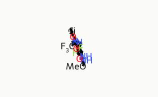 COCCNC(=O)Nc1cc(F)c(Oc2ccnc3c2c(C(F)(F)F)cn3COCC[Si](C)(C)C)c(F)c1